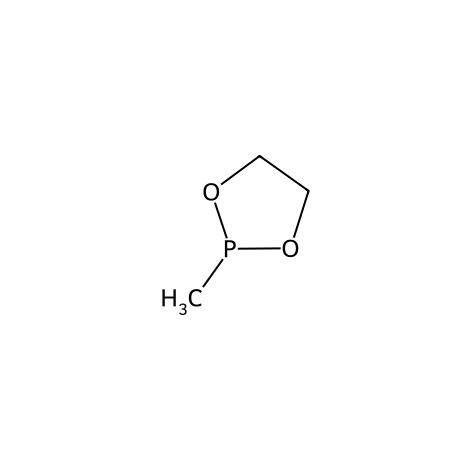 CP1OCCO1